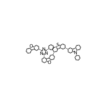 c1ccc(-c2nc(-c3ccc4oc5ccccc5c4c3)nc(-c3cccc4oc5ccc(-c6ccc7sc8ccc(-c9ccc%10c(c9)c9ccccc9n%10-c9ccccc9)cc8c7c6)cc5c34)n2)cc1